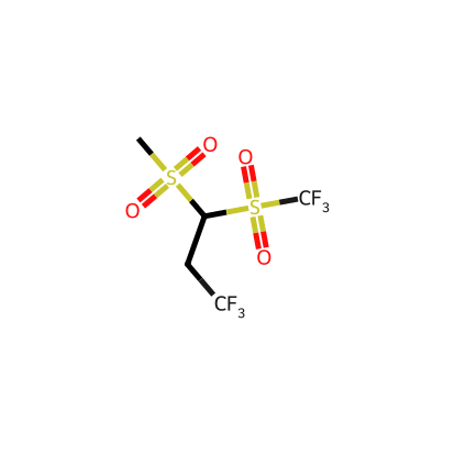 CS(=O)(=O)C(CC(F)(F)F)S(=O)(=O)C(F)(F)F